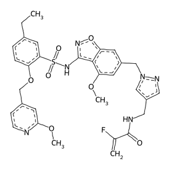 C=C(F)C(=O)NCc1cnn(Cc2cc(OC)c3c(NS(=O)(=O)c4cc(CC)ccc4OCc4ccnc(OC)c4)noc3c2)c1